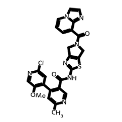 COc1cnc(Cl)cc1-c1cc(C)ncc1C(=O)Nc1nc2c(s1)CN(C(=O)c1cccn3ccnc13)C2